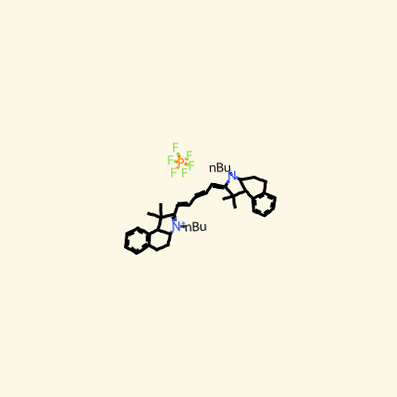 CCCCN1/C(=C/C=C/C=C/C2=[N+](CCCC)C3CCc4ccccc4C3C2(C)C)C(C)(C)C2c3ccccc3CCC21.F[P-](F)(F)(F)(F)F